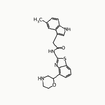 Cc1ccc2[nH]cc(CC(=O)Nc3nc4c(C5CNCCO5)cccc4s3)c2c1